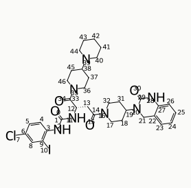 O=C(Nc1ccc(Cl)cc1I)N[C@@H](CC(=O)N1CCC(N2Cc3ccccc3NC2=O)CC1)C(=O)N1CCC(N2CCCCC2)CC1